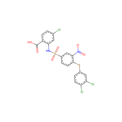 O=C(O)c1ccc(Cl)cc1NS(=O)(=O)c1ccc(Sc2ccc(Cl)c(Cl)c2)c([N+](=O)[O-])c1